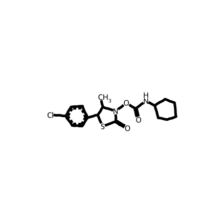 CC1C(c2ccc(Cl)cc2)SC(=O)N1OC(=O)NC1CCCCC1